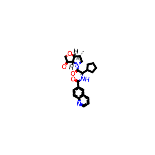 C[C@@H]1CN(C(=O)[C@@H](NC(=O)c2ccc3ncccc3c2)C2CCCC2)[C@@H]2C(=O)CO[C@H]12